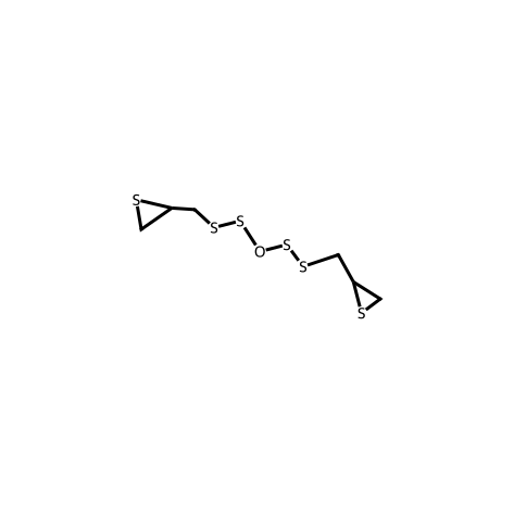 C(SSOSSCC1CS1)C1CS1